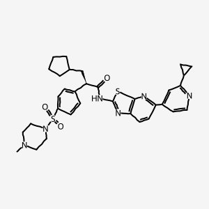 CN1CCN(S(=O)(=O)c2ccc([C@@H](CC3CCCC3)C(=O)Nc3nc4ccc(-c5ccnc(C6CC6)c5)nc4s3)cc2)CC1